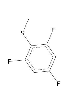 CSc1c(F)cc(F)cc1F